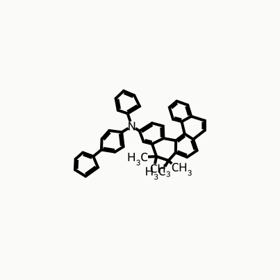 CC1(C)c2cc(N(c3ccccc3)c3ccc(-c4ccccc4)cc3)ccc2-c2c(ccc3ccc4ccccc4c23)C1(C)C